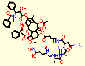 CC(=O)O[C@H]1C(=O)[C@@]2(C)C([C@H](OC(=O)c3ccccc3)[C@]3(O)C[C@H](OC(=O)[C@H](O)[C@@H](NC(=O)c4ccccc4)c4ccccc4)C(C)=C1C3(C)C)[C@]1(OC(C)=O)CO[C@@H]1C[C@@H]2OC(=O)CCCNC(=O)[C@@H](CC(N)=O)NC(=O)[C@@H](C)NC(=O)[C@@H](C)NC[C@H](CCC(O)N=O)N=O